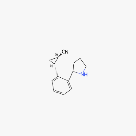 N#C[C@@H]1C[C@H]1c1ccccc1C1CCCN1